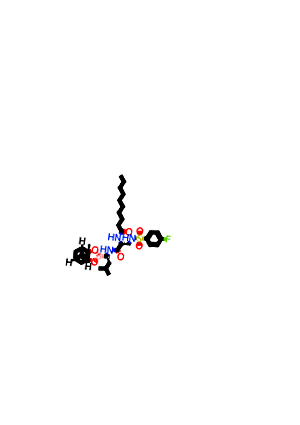 CCCCCCCCCC(=O)N[C@@H](CNS(=O)(=O)c1ccc(F)cc1)C(=O)N[C@@H](CC(C)C)B1O[C@@H]2C[C@@H]3C[C@@H](C3(C)C)[C@]2(C)O1